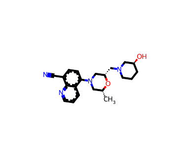 C[C@@H]1CN(c2ccc(C#N)c3ncccc23)C[C@H](CN2CCC[C@H](O)C2)O1